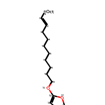 CCCCCCCCC=CCCCCCCCCOc1ccc(C(C)=O)o1